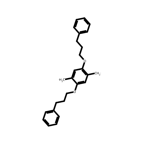 [CH2]c1cc(OCCCc2ccccc2)c([CH2])cc1OCCCc1ccccc1